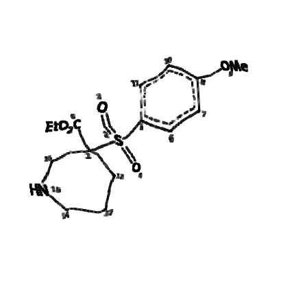 CCOC(=O)C1(S(=O)(=O)c2ccc(OC)cc2)CCCNC1